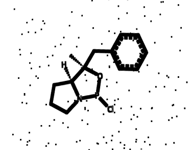 C[C@]1(Cc2ccccc2)OP(Cl)N2CCC[C@H]21